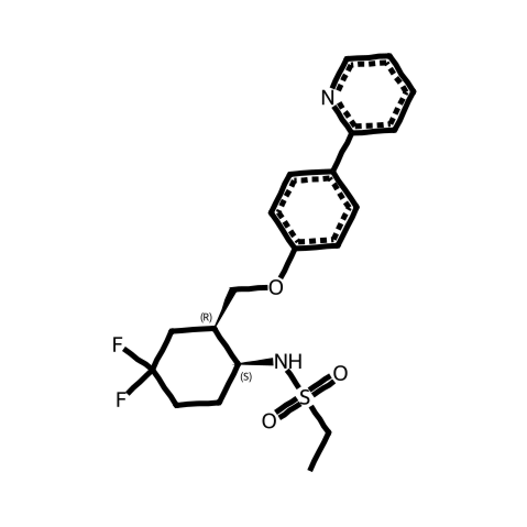 CCS(=O)(=O)N[C@H]1CCC(F)(F)C[C@H]1COc1ccc(-c2ccccn2)cc1